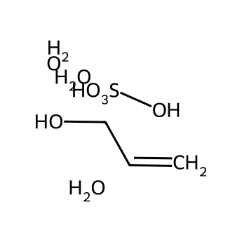 C=CCO.O.O.O.O=S(=O)(O)O